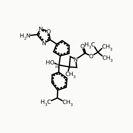 CC(C)c1ccc([C@](O)(c2cccc(-c3nc(N)no3)c2)C2(C)CN(C(=O)OC(C)(C)C)C2)cc1